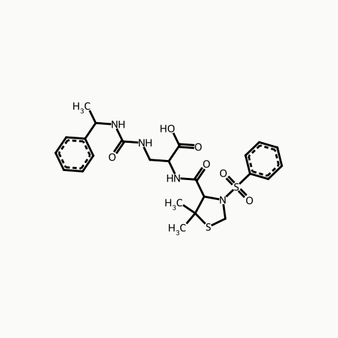 CC(NC(=O)NCC(NC(=O)C1N(S(=O)(=O)c2ccccc2)CSC1(C)C)C(=O)O)c1ccccc1